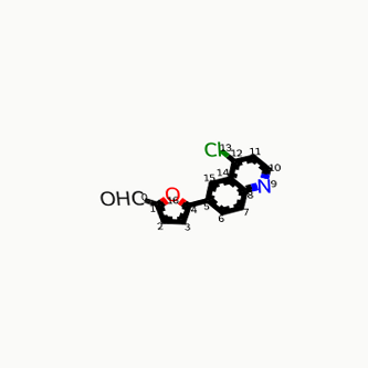 O=Cc1ccc(-c2ccc3nccc(Cl)c3c2)o1